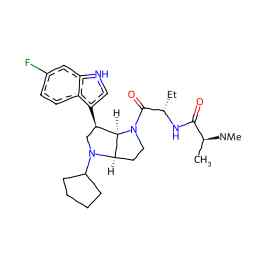 CC[C@H](NC(=O)[C@H](C)NC)C(=O)N1CC[C@@H]2[C@H]1[C@H](c1c[nH]c3cc(F)ccc13)CN2C1CCCC1